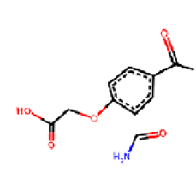 CC(=O)c1ccc(OCC(=O)O)cc1.NC=O